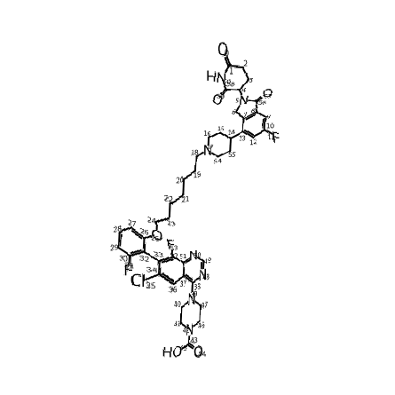 O=C1CCC(N2Cc3c(cc(F)cc3C3CCN(CCCCCCCOc4cccc(F)c4-c4c(Cl)cc5c(N6CCN(C(=O)O)CC6)ncnc5c4F)CC3)C2=O)C(=O)N1